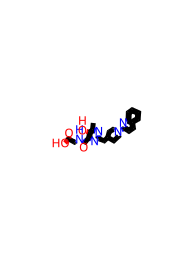 Cc1nc(CC2CCN(c3ccc4ccccc4n3)CC2)nc(C(=O)NCC(=O)O)c1O